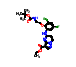 CCOC(=O)c1cnn2ccc(Nc3cc(F)cc(Br)c3OCCNC(=O)OC(C)(C)C)nc12